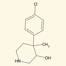 CC1(c2ccc(Cl)cc2)CCNCC1O